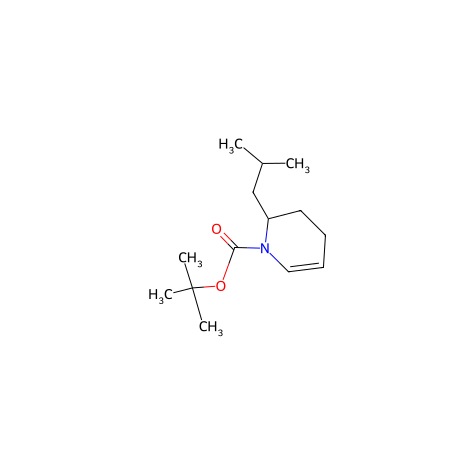 CC(C)CC1CCC=CN1C(=O)OC(C)(C)C